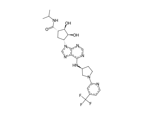 CC(C)NC(=O)[C@H]1C[C@@H](n2cnc3c(N[C@H]4CCN(c5cc(C(F)(F)F)ccn5)C4)ncnc32)[C@H](O)[C@@H]1O